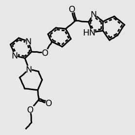 CCOC(=O)C1CCN(c2nccnc2Oc2ccc(C(=O)c3nc4ccccc4[nH]3)cc2)CC1